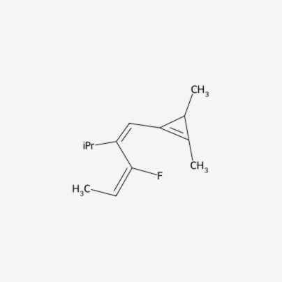 C/C=C(F)\C(=C/C1=C(C)C1C)C(C)C